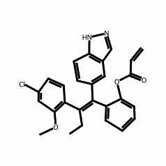 C=CC(=O)Oc1ccccc1/C(=C(\CC)c1ccc(Cl)cc1OC)c1ccc2[nH]ncc2c1